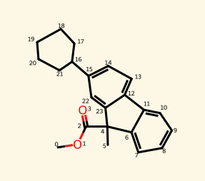 COC(=O)C1(C)c2ccccc2-c2ccc(C3CCCCC3)cc21